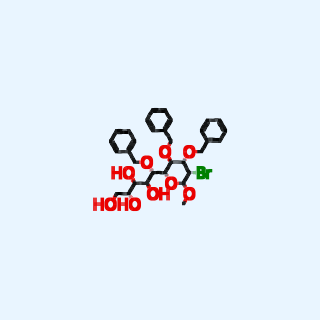 COC1O[C@H]([C@@H](OCc2ccccc2)[C@@H](O)[C@H](O)[C@H](O)CO)[C@@H](OCc2ccccc2)[C@H](OCc2ccccc2)[C@@H]1Br